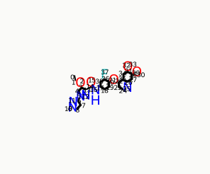 CCOc1cn(-c2ccn(C)n2)nc1C(=O)Nc1ccc(Oc2ccnc3cc(OC)c(OC)cc23)c(F)c1